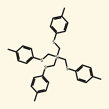 Cc1ccc(SC[Si](CSc2ccc(C)cc2)(CSc2ccc(C)cc2)CSc2ccc(C)cc2)cc1